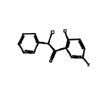 O=C(c1cc(F)ccc1Cl)C(Cl)c1ccccc1